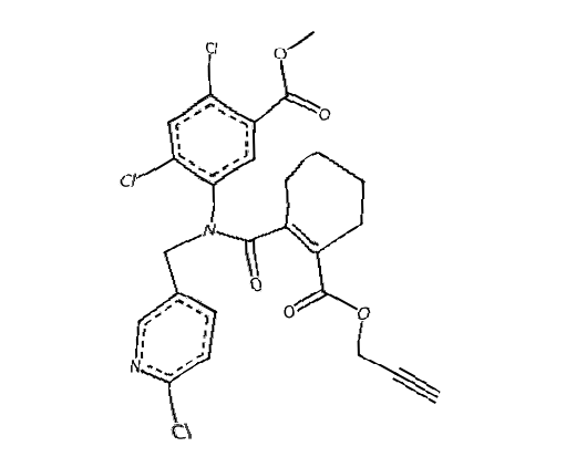 C#CCOC(=O)C1=C(C(=O)N(Cc2ccc(Cl)nc2)c2cc(C(=O)OC)c(Cl)cc2Cl)CCCC1